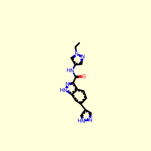 CCn1cc(NC(=O)c2n[nH]c3cc(-c4cn[nH]c4)ccc23)cn1